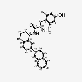 Cc1cc(O)cc(C)c1CC(N)C(=O)NC1CCCc2ccc(-c3ccc4ccccc4c3)cc21